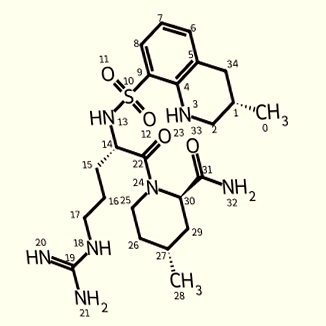 C[C@@H]1CNc2c(cccc2S(=O)(=O)N[C@@H](CCCNC(=N)N)C(=O)N2CC[C@@H](C)C[C@@H]2C(N)=O)C1